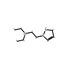 CCN(CC)CCN1C=CCS1